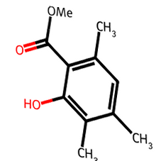 COC(=O)c1c(C)cc(C)c(C)c1O